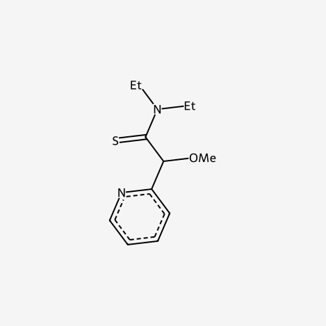 CCN(CC)C(=S)C(OC)c1ccccn1